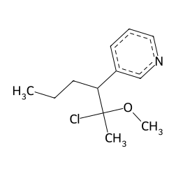 CCCC(c1cccnc1)C(C)(Cl)OC